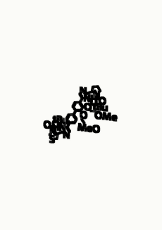 COCCOc1c(-c2ccc(-c3cnc(C4CSCN4C(=O)OC(C)(C)C)[nH]3)cc2)ccc(-c2cnc(C3CCCN3C(=O)OC(C)(C)C)[nH]2)c1OCCOC